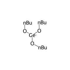 CCCC[O][Ge]([O]CCCC)[O]CCCC